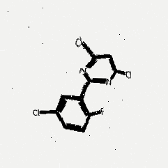 Fc1ccc(Cl)cc1-c1nc(Cl)cc(Cl)n1